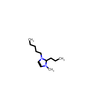 CCCCCN1C=CN(C)C1CCC